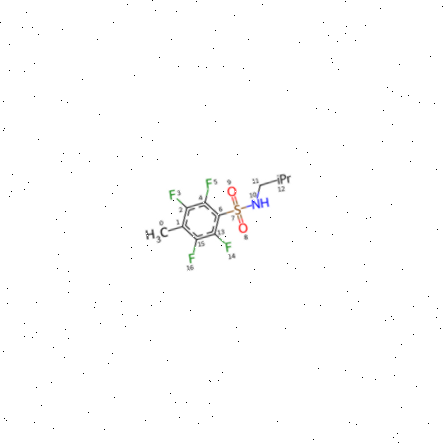 Cc1c(F)c(F)c(S(=O)(=O)NCC(C)C)c(F)c1F